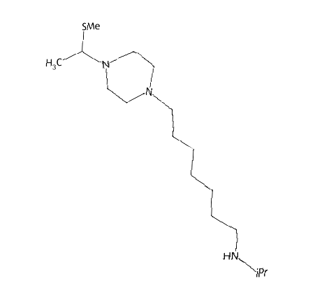 CSC(C)N1CCN(CCCCCCCNC(C)C)CC1